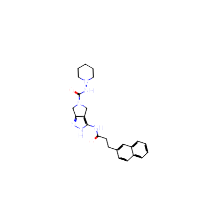 O=C(CCc1ccc2ccccc2c1)Nc1[nH]nc2c1CN(C(=O)NN1CCCCC1)C2